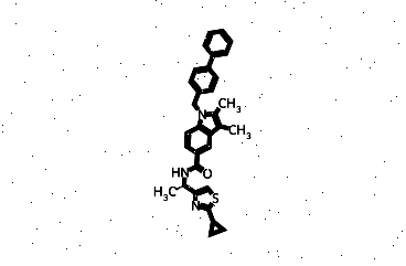 Cc1c(C)n(Cc2ccc(-c3ccccc3)cc2)c2ccc(C(=O)N[C@@H](C)c3csc(C4CC4)n3)cc12